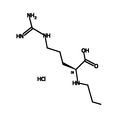 CCCN[C@@H](CCCNC(=N)N)C(=O)O.Cl